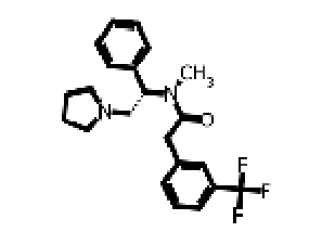 CN(C(=O)Cc1cccc(C(F)(F)F)c1)[C@H](CN1CCCC1)c1ccccc1